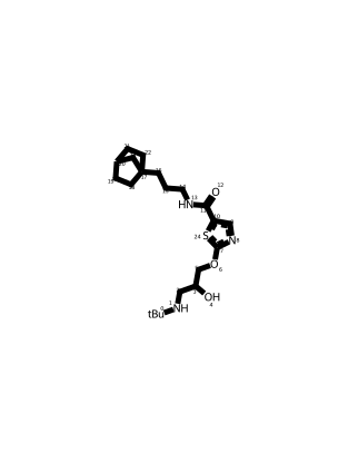 CC(C)(C)NCC(O)COc1ncc(C(=O)NCCCC23CCC(CC2)C3)s1